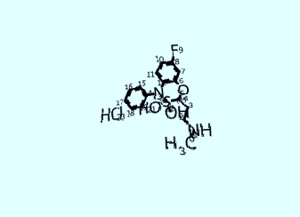 CNCC[C@@H]1Oc2cc(F)ccc2N(c2ccccc2)S1(O)O.Cl